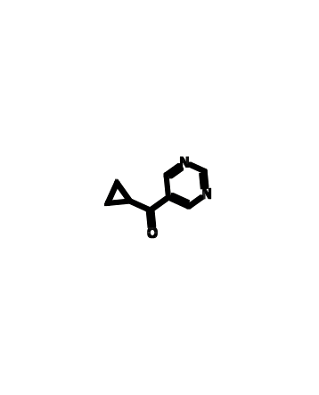 O=C(c1cncnc1)C1CC1